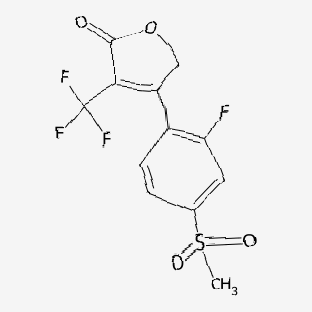 CS(=O)(=O)c1ccc(C2=C(C(F)(F)F)C(=O)OC2)c(F)c1